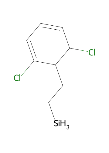 [SiH3]CCC1C(Cl)=CC=CC1Cl